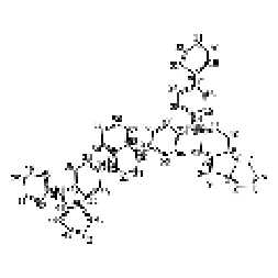 CC1(C)c2ccccc2-c2ccc(N(c3ccc(-c4ccccc4)cc3)c3ccc(N4CCN(c5ccc6c(c5)c5ccccc5n6-c5ccccc5)c5ccccc54)cc3)cc21